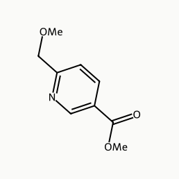 COCc1ccc(C(=O)OC)cn1